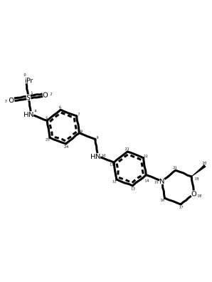 CC(C)S(=O)(=O)Nc1ccc(CNc2ccc(N3CCO[C@H](C)C3)cc2)cc1